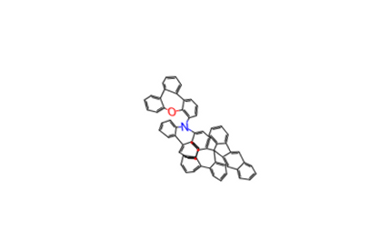 c1ccc(-c2ccccc2N(c2ccc3c(c2)-c2ccccc2-c2ccccc2C32c3ccccc3-c3cc4ccccc4cc32)c2cccc3c2Oc2ccccc2-c2ccccc2-3)cc1